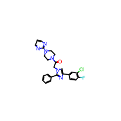 O=C(Cn1cc(-c2ccc(F)c(Cl)c2)nc1-c1ccccc1)N1CCN(c2ncccn2)CC1